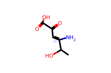 CC(O)/C(N)=C/C(=O)C(=O)O